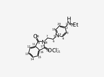 CCNc1cc[n+](CCN2C(=O)c3ccccc3C2=O)cc1.[Cl-]